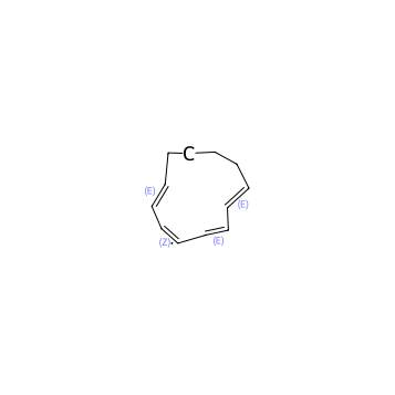 [C]1=C\C=C\CCCC/C=C/C=C/1